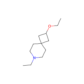 CCOC1CC2(CCN(CC)CC2)C1